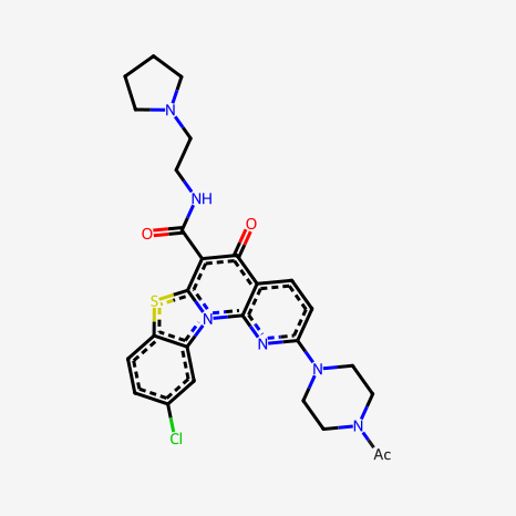 CC(=O)N1CCN(c2ccc3c(=O)c(C(=O)NCCN4CCCC4)c4sc5ccc(Cl)cc5n4c3n2)CC1